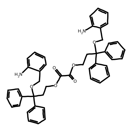 Nc1ccccc1COC(CCOC(=O)C(=O)OCCC(OCc1ccccc1N)(c1ccccc1)c1ccccc1)(c1ccccc1)c1ccccc1